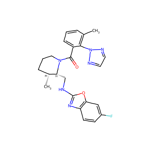 Cc1cccc(C(=O)N2CCC[C@@H](C)[C@H]2CNc2nc3ccc(F)cc3o2)c1-n1nccn1